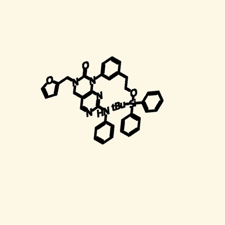 CC(C)(C)[Si](OCCc1cccc(N2C(=O)N(Cc3ccco3)Cc3cnc(Nc4ccccc4)nc32)c1)(c1ccccc1)c1ccccc1